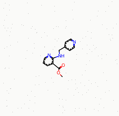 COC(=O)c1cccnc1NCc1ccncc1